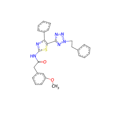 COc1cccc(CC(=O)Nc2nc(-c3ccccc3)c(-c3nnn(CCc4ccccc4)n3)s2)c1